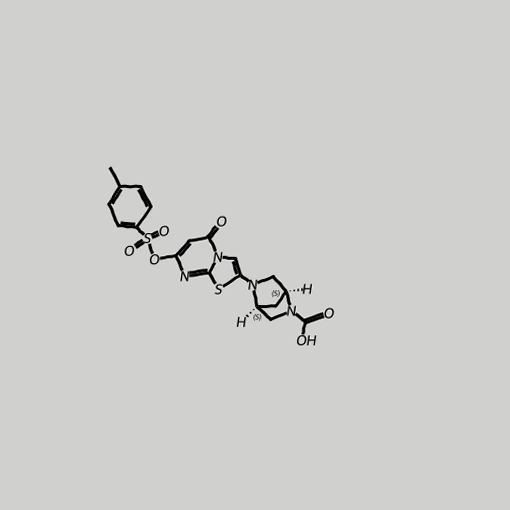 Cc1ccc(S(=O)(=O)Oc2cc(=O)n3cc(N4C[C@@H]5C[C@H]4CN5C(=O)O)sc3n2)cc1